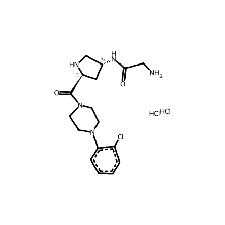 Cl.Cl.NCC(=O)N[C@H]1CN[C@H](C(=O)N2CCN(c3ccccc3Cl)CC2)C1